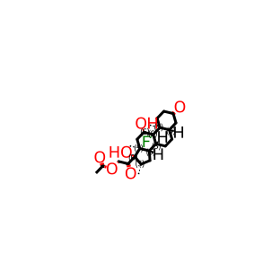 CC(=O)OCC(=O)[C@@]1(O)[C@@H](C)C[C@H]2[C@@H]3CC[C@H]4CC(=O)CC[C@]4(C)[C@]3(F)[C@@H](O)C[C@@]21C